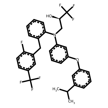 CC(C)c1cccc(Oc2cccc(N(C[C@@H](O)C(F)(F)F)c3ccccc3Cc3cc(C(F)(F)F)ccc3F)c2)c1